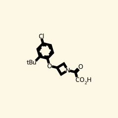 CC(C)(C)c1cc(Cl)ccc1OC1CN(C(=O)C(=O)O)C1